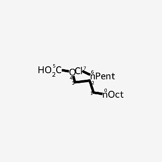 CCCCCCCCCCCOC(=O)O.CCCCCCl